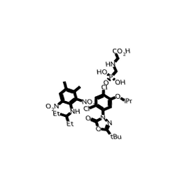 CC(C)Oc1cc(-n2nc(C(C)(C)C)oc2=O)c(Cl)cc1Cl.CCC(CC)Nc1c([N+](=O)[O-])cc(C)c(C)c1[N+](=O)[O-].O=C(O)CNCP(=O)(O)O